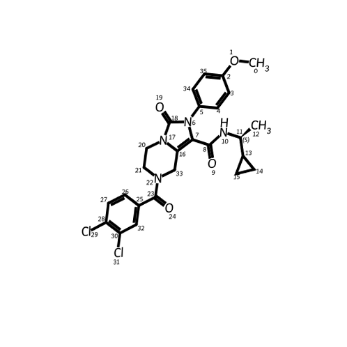 COc1ccc(-n2c(C(=O)N[C@@H](C)C3CC3)c3n(c2=O)CCN(C(=O)c2ccc(Cl)c(Cl)c2)C3)cc1